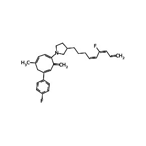 C=C/C=C(F)\C=C/CCCC1CCN(/C2=C/C=C(/C)C/C(c3ccc(F)cc3)=C\C2=C)C1